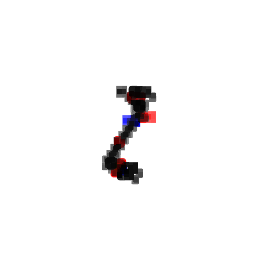 CN(C)S(=O)(=O)c1cccc(CCCCOCCCCCCNC[C@H](O)c2ccc3c(c2)COC(C)(C)O3)c1